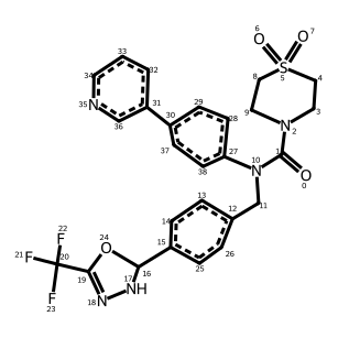 O=C(N1CCS(=O)(=O)CC1)N(Cc1ccc(C2NN=C(C(F)(F)F)O2)cc1)c1ccc(-c2cccnc2)cc1